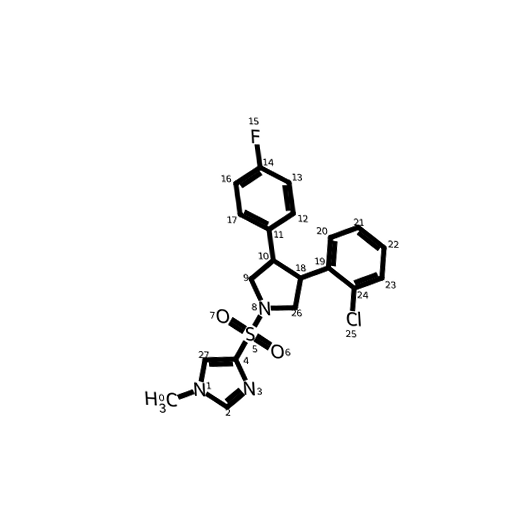 Cn1cnc(S(=O)(=O)N2CC(c3ccc(F)cc3)C(c3ccccc3Cl)C2)c1